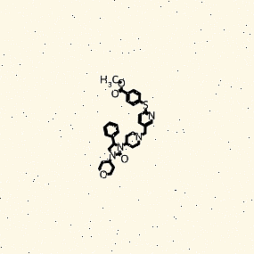 COC(=O)c1ccc(Sc2ccc(CN3CCC(N4C(=O)N(C5CCOCC5)CC4c4ccccc4)CC3)cn2)cc1